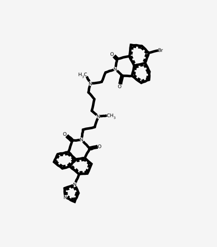 CN(CCCN(C)CCN1C(=O)c2cccc3c(-n4ccnc4)ccc(c23)C1=O)CCN1C(=O)c2cccc3c(Br)ccc(c23)C1=O